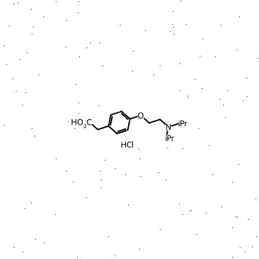 CC(C)N(CCOc1ccc(CC(=O)O)cc1)C(C)C.Cl